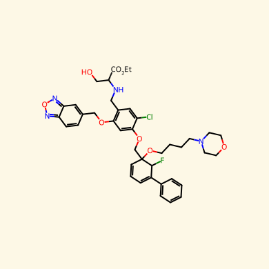 CCOC(=O)C(CO)NCc1cc(Cl)c(OCC2(OCCCCN3CCOCC3)C=CC=C(c3ccccc3)C2F)cc1OCc1ccc2nonc2c1